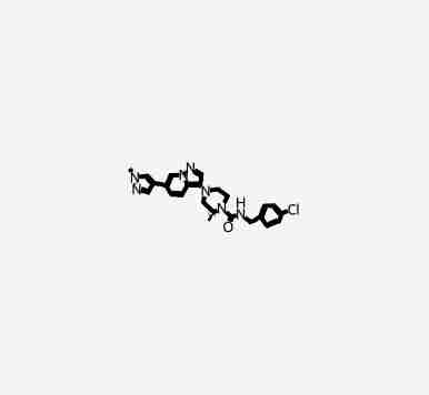 C[C@H]1CN(c2cnn3cc(-c4cnn(C)c4)ccc23)CCN1C(=O)NCc1ccc(Cl)cc1